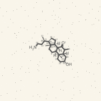 CC1C(=O)[C@@H]2[C@H](CC[C@]3(C)[C@@H]([C@H](C)CCN)CC[C@@H]23)[C@@]2(C)CC[C@@H](O)C[C@@H]12